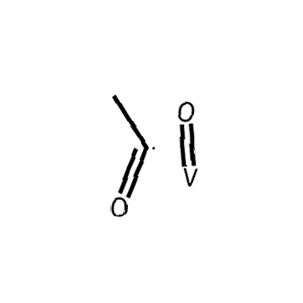 C[C]=O.[O]=[V]